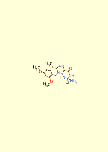 CCC1C=NC2=C(N[C@@](N)(Cl)NC2=O)N1Cc1ccc(OC)cc1OC